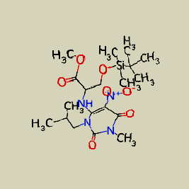 COC(=O)C(CO[Si](C)(C)C(C)(C)C)Nc1c([N+](=O)[O-])c(=O)n(C)c(=O)n1CC(C)C